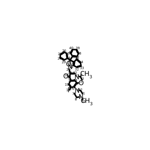 C[C@H]1COc2c(N3CCN(C)CC3)c(F)cc3c(=O)c(/C=N/OC(c4ccccc4)(c4ccccc4)c4ccccc4)cn1c23